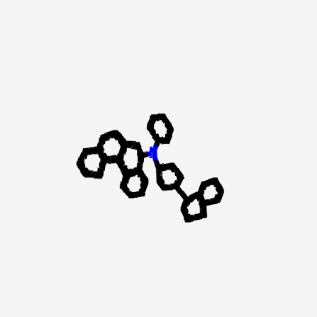 c1ccc(N(c2ccc(-c3cccc4ccccc34)cc2)c2cc3ccc4ccccc4c3c3ccccc23)cc1